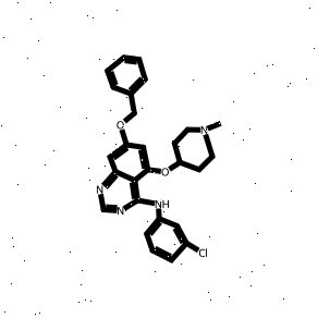 CN1CCC(Oc2cc(OCc3ccccc3)cc3ncnc(Nc4cccc(Cl)c4)c23)CC1